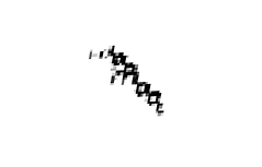 CCCc1ccc(-c2ccc(CCc3ccc(-c4ccc(C(C)O)cc4)c(C(F)F)c3F)cc2)cc1